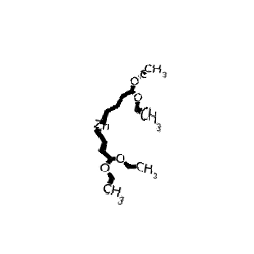 CCOC(CC[CH2][Zn][CH2]CCC(OCC)OCC)OCC